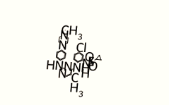 Cc1cnc(Nc2ccc(N3CCN(C)CC3)cc2)nc1Nc1ccc(Cl)cc1NS(=O)(=O)C1CC1